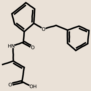 CC(=CC(=O)O)NC(=O)c1ccccc1OCc1ccccc1